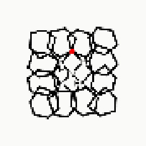 C1CCC([PH](C2CCCCC2)(C2CCCCC2)[Pd]([PH](C2CCCCC2)(C2CCCCC2)C2CCCCC2)([PH](C2CCCCC2)(C2CCCCC2)C2CCCCC2)[PH](C2CCCCC2)(C2CCCCC2)C2CCCCC2)CC1